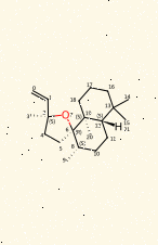 C=C[C@]1(C)CC[C@@]2(O1)[C@@H](C)CC[C@H]1C(C)(C)CCC[C@@]12C